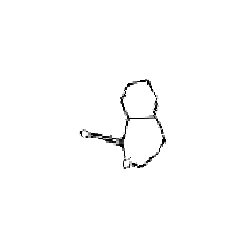 O=C1OCCCC2CCCCC12